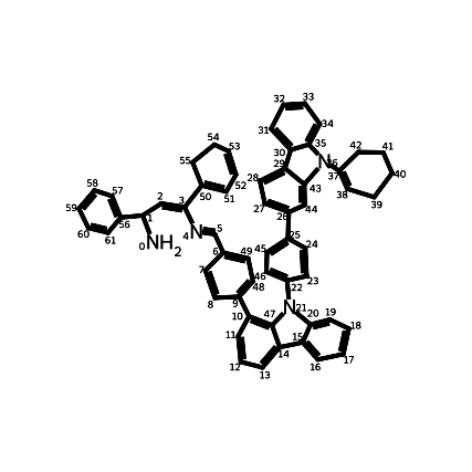 NC(/C=C(\N=C\c1ccc(-c2cccc3c4ccccc4n(-c4ccc(-c5ccc6c7ccccc7n(C7=CCCCC7)c6c5)cc4)c23)cc1)C1=CC=CCC1)c1ccccc1